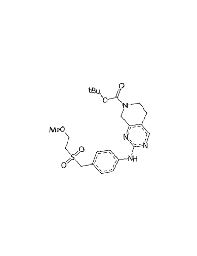 COCCS(=O)(=O)Cc1ccc(Nc2ncc3c(n2)CN(C(=O)OC(C)(C)C)CC3)cc1